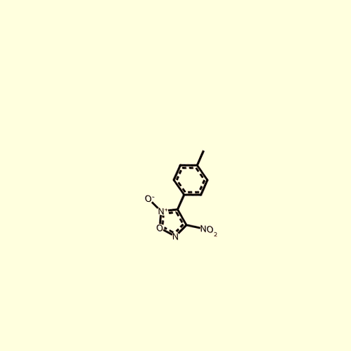 Cc1ccc(-c2c([N+](=O)[O-])no[n+]2[O-])cc1